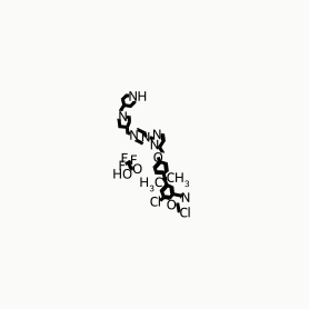 CC(C)(c1ccc(OCc2ccnc(N3CCN(CC4CCN(CC5CCNCC5)CC4)CC3)n2)cc1)c1cc(Cl)c(OCCCl)c(C#N)c1.O=C(O)C(F)(F)F